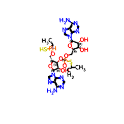 C/C=[PH](\S)OC[C@H]1O[C@@H](n2cnc3c(N)ncnc32)[C@H](O)[C@@H]1O[P@](=O)(OC[C@H]1O[C@@H](n2cnc3c(N)ncnc32)[C@H](O)[C@@H]1O)SC(C)C